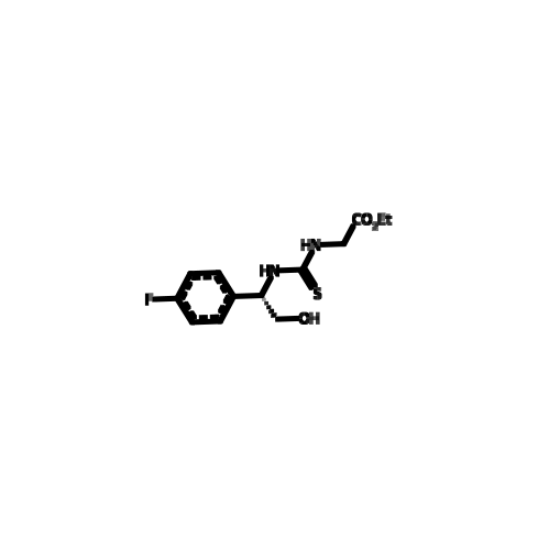 CCOC(=O)CNC(=S)N[C@H](CO)c1ccc(F)cc1